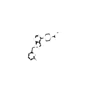 CC(C)(C)OC(=O)N1CCN(c2ncnc3c2cnn3Cc2cccc(Br)n2)CC1